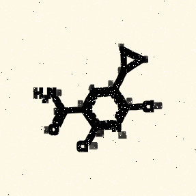 NC(=O)c1cc(C2CC2)c(Cl)nc1Cl